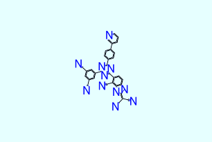 N#CC(C#N)=C1N=c2ccc(-c3nc(-c4ccc(-c5cccnc5)cc4)nc(-c4cc(C#N)cc(C#N)c4)n3)c(C#N)c2=N1